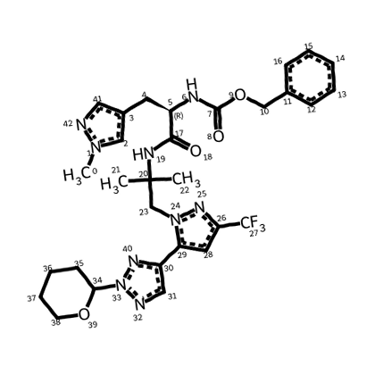 Cn1cc(C[C@@H](NC(=O)OCc2ccccc2)C(=O)NC(C)(C)Cn2nc(C(F)(F)F)cc2-c2cnn(C3CCCCO3)n2)cn1